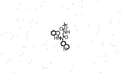 CC(C)(C)OC(=O)NCC(=O)N(N[C@@H]1CCc2ccccc21)c1ccc2ncccc2c1